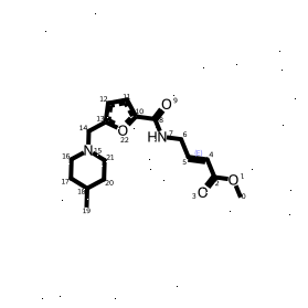 COC(=O)/C=C/CNC(=O)c1ccc(CN2CCC(C)CC2)o1